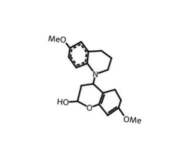 COC1=CC2=C(CC1)C(N1CCCc3cc(OC)ccc31)CC(O)O2